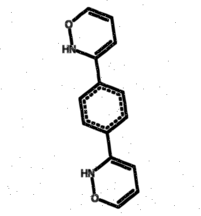 C1=CONC(c2ccc(C3=CC=CON3)cc2)=C1